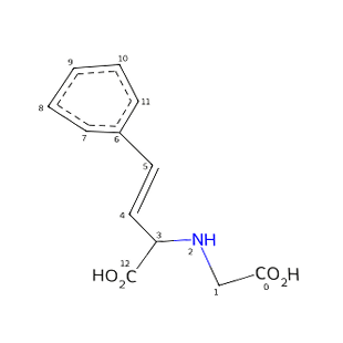 O=C(O)CNC(C=Cc1ccccc1)C(=O)O